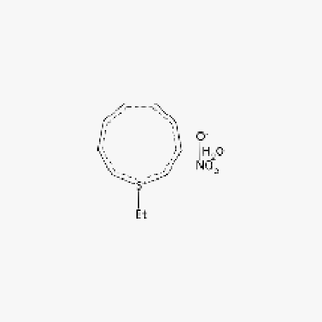 CC[s+]1cccccccc1.O.O=[N+]([O-])[O-]